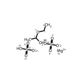 CCOC(C)O.O=S(=O)([O-])O.O=S(=O)([O-])O.[Mg+2]